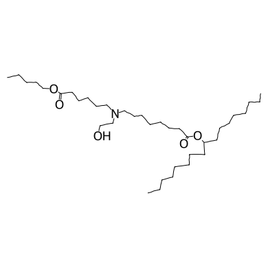 CCCCCCCCC(CCCCCCCC)OC(=O)CCCCCCCN(CCO)CCCCCC(=O)OCCCCC